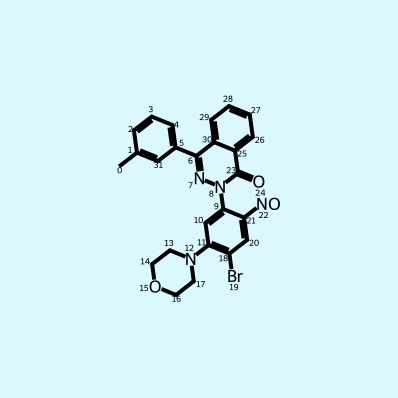 Cc1cccc(-c2nn(-c3cc(N4CCOCC4)c(Br)cc3N=O)c(=O)c3ccccc23)c1